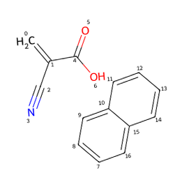 C=C(C#N)C(=O)O.c1ccc2ccccc2c1